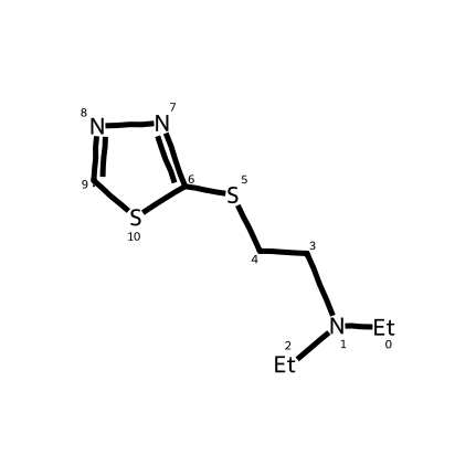 CCN(CC)CCSc1nn[c]s1